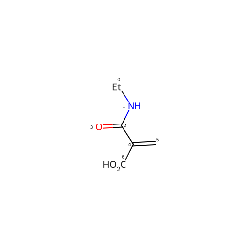 [CH2]CNC(=O)C(=C)C(=O)O